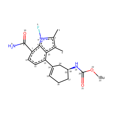 Cc1c(C)n(F)c2c(C(N)=O)ccc(C3=CCC[C@H](NC(=O)OC(C)(C)C)C3)c12